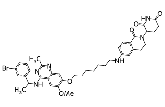 COc1cc2c(NC(C)c3cccc(Br)c3)nc(C)nc2cc1OCCCCCCCNc1ccc2c(c1)CCN(C1CCC(=O)NC1=O)C2=O